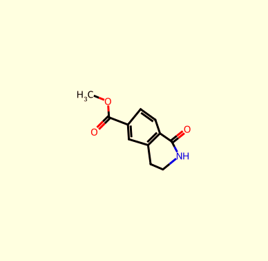 COC(=O)c1ccc2c(c1)CCNC2=O